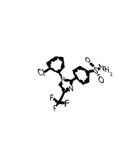 NS(=O)(=O)c1ccc(-c2nc(C(F)(F)F)cn2-c2ccccc2Cl)cc1